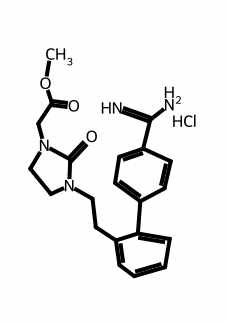 COC(=O)CN1CCN(CCc2ccccc2-c2ccc(C(=N)N)cc2)C1=O.Cl